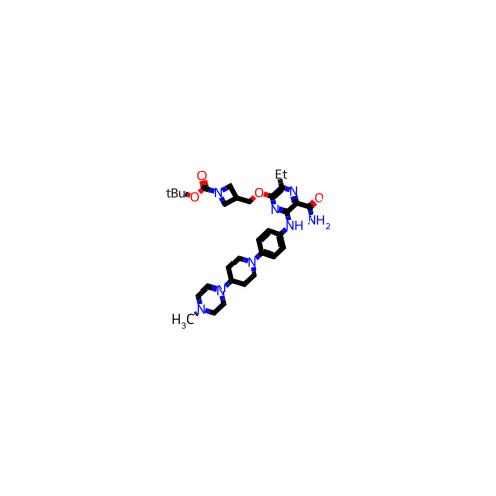 CCc1nc(C(N)=O)c(Nc2ccc(N3CCC(N4CCN(C)CC4)CC3)cc2)nc1OCC1CN(C(=O)OC(C)(C)C)C1